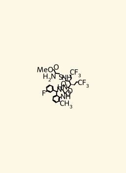 COC(=O)[C@@H](N)CSNC(=O)[C@@H](CCC(F)(F)F)[C@@H](CCC(F)(F)F)C(=O)N[C@H]1N=C(c2cccc(F)c2)c2cccc(C)c2NC1=O